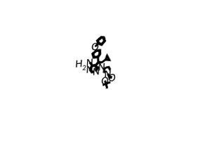 CC(C)(C)OC(=O)N1CCC(n2c(C3CC3)c(-c3ccc(Oc4ccccc4)cc3)c3c(N)ncnc32)C1